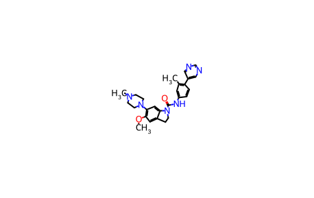 COc1cc2c(cc1N1CCN(C)CC1)N(C(=O)Nc1ccc(-c3cncnc3)c(C)c1)CC2